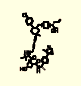 C=CC[C@H](C(C)O)N1CCN(CC2=C(c3ccc(Cl)cc3)CCC(C)(C#CC#CCN[C@H](C(=O)N3CC(O)CC3C(=O)N[C@@H](C)c3ccc(-c4scnc4C)cc3)C(C)(C)C)C2)CC1